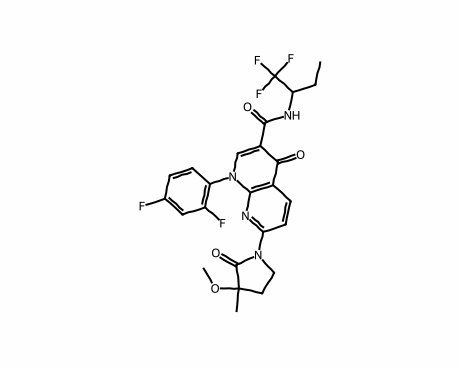 CCC(NC(=O)c1cn(-c2ccc(F)cc2F)c2nc(N3CCC(C)(OC)C3=O)ccc2c1=O)C(F)(F)F